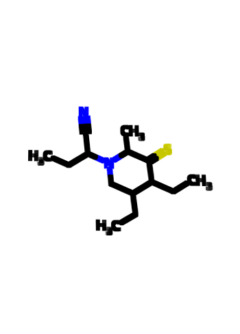 CCC1CN(C(C#N)CC)C(C)C(=S)C1CC